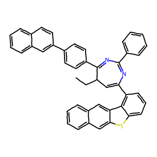 CCC1C=C(c2cccc3sc4cc5ccccc5cc4c23)N=C(c2ccccc2)N=C1c1ccc(-c2ccc3ccccc3c2)cc1